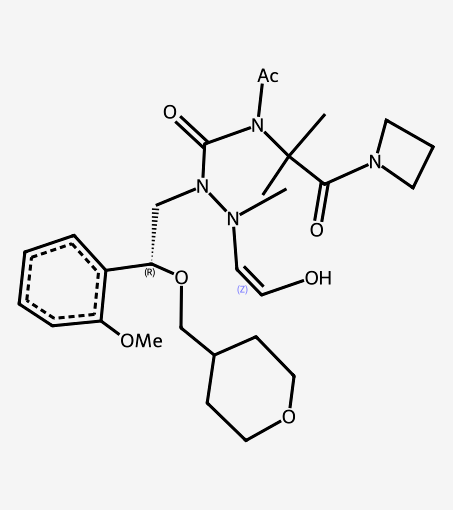 COc1ccccc1[C@H](CN(C(=O)N(C(C)=O)C(C)(C)C(=O)N1CCC1)N(C)/C=C\O)OCC1CCOCC1